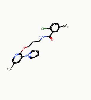 O=C(NCCCOc1ncc(C(F)(F)F)cc1-n1cccc1)c1cc([N+](=O)[O-])ccc1Cl